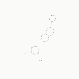 [2H]C([2H])([2H])Oc1cc(OC)cc(N(CCC)c2ccc3ncc(-c4cnn(C)c4)nc3c2)c1